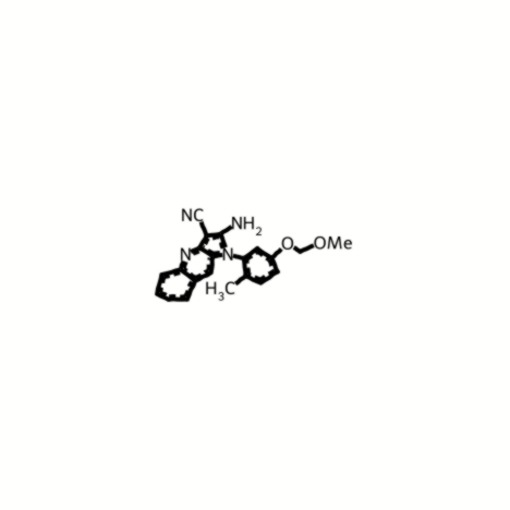 COCOc1ccc(C)c(-n2c(N)c(C#N)c3nc4ccccc4cc32)c1